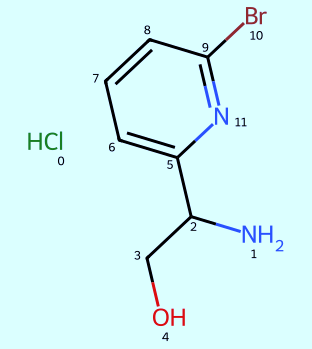 Cl.NC(CO)c1cccc(Br)n1